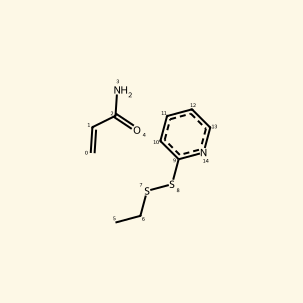 C=CC(N)=O.CCSSc1ccccn1